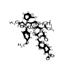 COc1ccc(S(=O)(=O)N(CC(C)C)C[C@H](O)[C@H](Cc2ccccc2)NC(=O)[C@H](C(C)C)N2CC(=O)N(Cc3ccc4cc([N+](=O)[O-])ccc4n3)C2=O)cc1